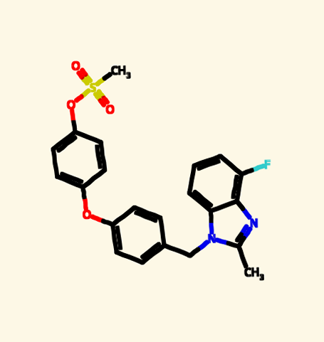 Cc1nc2c(F)cccc2n1Cc1ccc(Oc2ccc(OS(C)(=O)=O)cc2)cc1